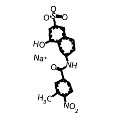 Cc1cc(C(=O)Nc2ccc3cc(S(=O)(=O)[O-])cc(O)c3c2)ccc1[N+](=O)[O-].[Na+]